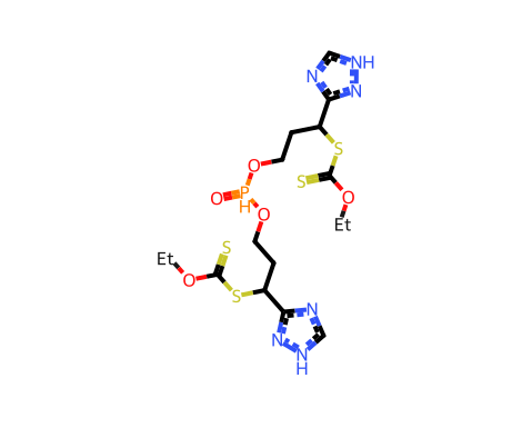 CCOC(=S)SC(CCO[PH](=O)OCCC(SC(=S)OCC)c1nc[nH]n1)c1nc[nH]n1